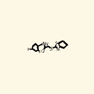 O=C(CSc1nc2ccccc2s1)Nc1ccc(F)cc1F